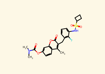 Cc1c(Cc2cccc(NS(=O)(=O)C3CCC3)c2F)c(=O)oc2cc(OC(=O)N(C)C)ccc12